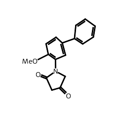 COc1ccc(-c2ccccc2)cc1N1CC(=O)CC1=O